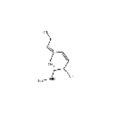 CC(/C=C\C(C)CNC(C)(C)C)=C/CN=O